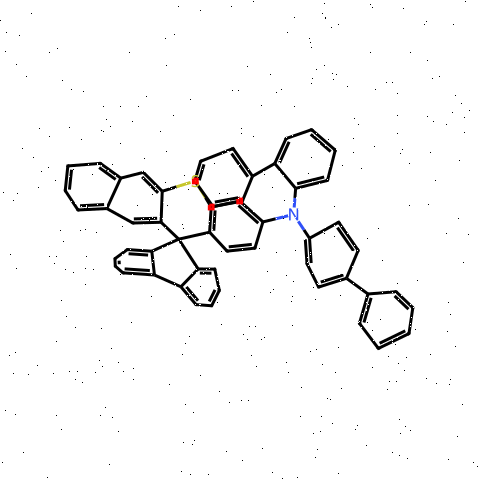 c1ccc(-c2ccc(N(c3ccc4c(c3)Sc3cc5ccccc5cc3C43c4ccccc4-c4ccccc43)c3ccccc3-c3ccccc3)cc2)cc1